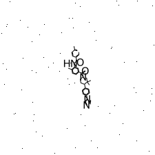 C=C(C)/C=C\C(=C/C)C(=O)Nc1cc(C(=O)N2CCC(c3ccc(-n4ccnc4)cc3)C(C)(C)C2)ccc1C